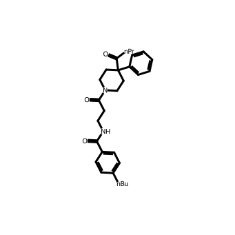 CCCCc1ccc(C(=O)NCCC(=O)N2CCC(C(=O)CCC)(c3ccccc3)CC2)cc1